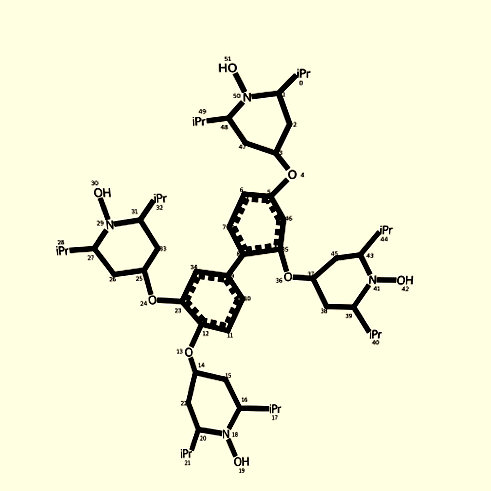 CC(C)C1CC(Oc2ccc(-c3ccc(OC4CC(C(C)C)N(O)C(C(C)C)C4)c(OC4CC(C(C)C)N(O)C(C(C)C)C4)c3)c(OC3CC(C(C)C)N(O)C(C(C)C)C3)c2)CC(C(C)C)N1O